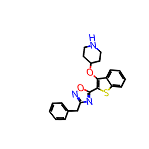 c1ccc(Cc2noc(-c3sc4ccccc4c3OC3CCNCC3)n2)cc1